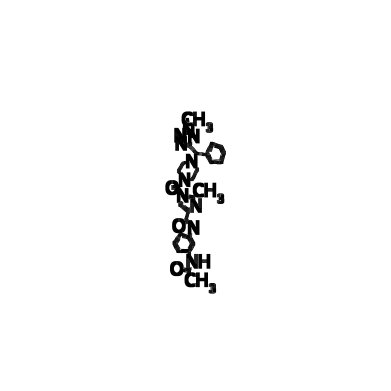 CC(=O)Nc1ccc2oc(-c3cn(C(=O)N4CCN(C(c5ccccc5)c5nnn(C)n5)CC4)c(C)n3)nc2c1